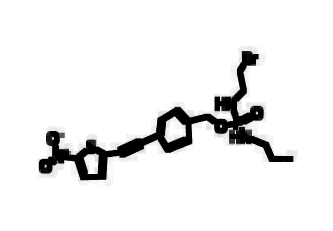 CCCNP(=O)(NCCBr)OCc1ccc(C#Cc2ccc([N+](=O)[O-])s2)cc1